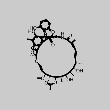 CO[C@H]1/C=C/O[C@@]2(C)Oc3c(C)c(O)c4c(=O)c(c5oc6cccc(O)c6nc-5c4c3C2=O)NC(=O)/C(C)=C\C=C\[C@H](C)[C@H](O)[C@@H](C)[C@@H](O)[C@@H](C)[C@H](OC(C)=O)[C@@H]1C